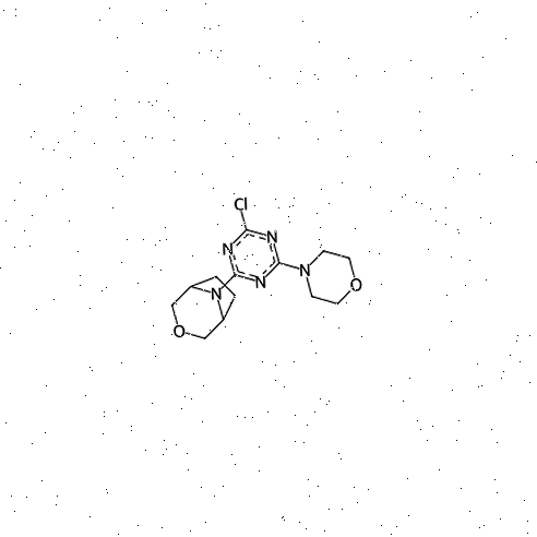 Clc1nc(N2CCOCC2)nc(N2C3CCC2COC3)n1